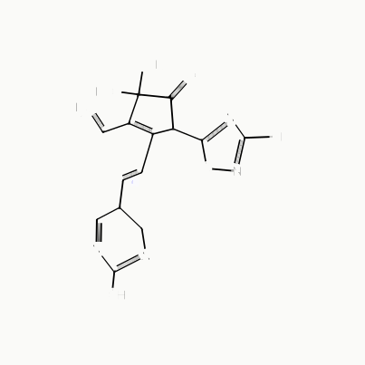 C=CC1=C(/C=C/C2C=NC(C)=NC2)C(c2nc(C)ns2)C(=O)C1(C)C